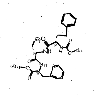 CCCCOC(=O)[C@H](Cc1ccccc1)NC(=O)[C@H](CC(C)C)NC(=O)[C@H](CCc1ccccc1)NC(=O)OC(C)(C)C